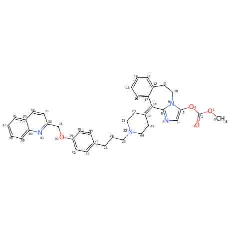 COC(=O)Oc1cnc2n1CCc1ccccc1C2=C1CCN(CCCc2ccc(OCc3ccc4ccccc4n3)cc2)CC1